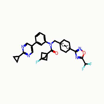 O=C(N(CC12CCC(c3noc(C(F)F)n3)(CC1)CC2)c1cccc(-c2cnc(C3CC3)nc2)c1)C12CC(F)(C1)C2